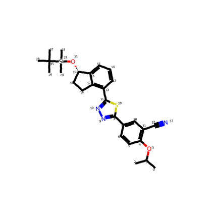 CC(C)Oc1ccc(-c2nnc(-c3cccc4c3CC[C@@H]4O[Si](C)(C)C(C)(C)C)s2)cc1C#N